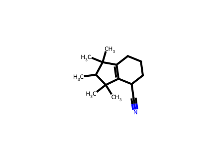 CC1C(C)(C)C2=C(C(C#N)CCC2)C1(C)C